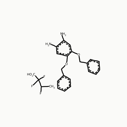 CC(F)C(F)(F)C(=O)O.Nc1cc(OCc2ccccc2)c(OCc2ccccc2)cc1N